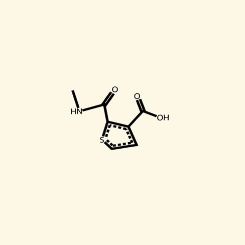 CNC(=O)c1sccc1C(=O)O